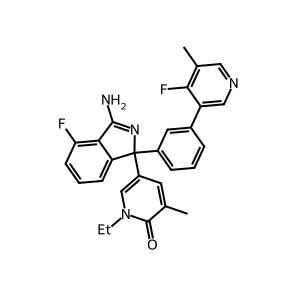 CCn1cc(C2(c3cccc(-c4cncc(C)c4F)c3)N=C(N)c3c(F)cccc32)cc(C)c1=O